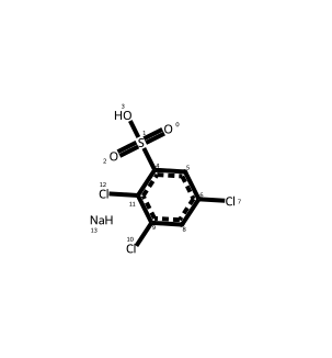 O=S(=O)(O)c1cc(Cl)cc(Cl)c1Cl.[NaH]